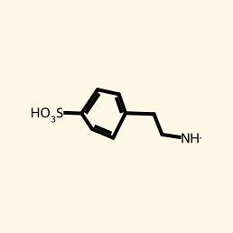 [NH]CCc1ccc(S(=O)(=O)O)cc1